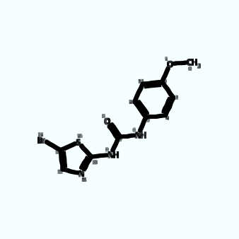 COc1ccc(NC(=O)Nc2ncc(Br)s2)cc1